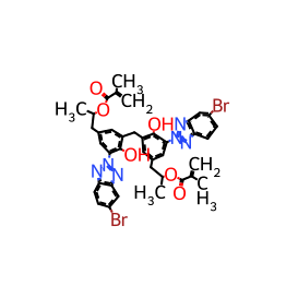 C=C(C)C(=O)OC(C)Cc1cc(Cc2cc(CC(C)OC(=O)C(=C)C)cc(-n3nc4ccc(Br)cc4n3)c2O)c(O)c(-n2nc3ccc(Br)cc3n2)c1